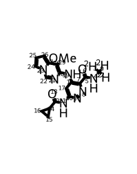 [2H]C([2H])([2H])NC(=O)c1nnc(NC(=O)C2CC2)cc1Nc1ncn2cccc2c1OC